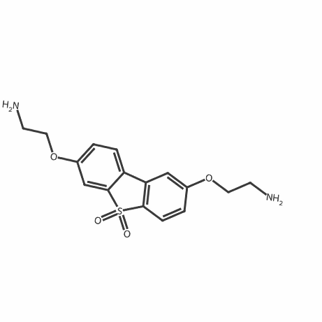 NCCOc1ccc2c(c1)-c1ccc(OCCN)cc1S2(=O)=O